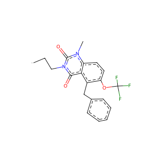 [CH2]CCn1c(=O)c2c(Cc3ccccc3)c(OC(F)(F)F)ccc2n(C)c1=O